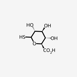 O=C(O)[C@H]1OC(S)[C@H](O)[C@@H](O)[C@@H]1O